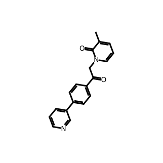 Cc1cccn(CC(=O)c2ccc(-c3cccnc3)cc2)c1=O